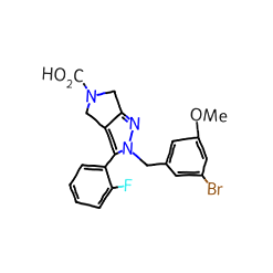 COc1cc(Br)cc(Cn2nc3c(c2-c2ccccc2F)CN(C(=O)O)C3)c1